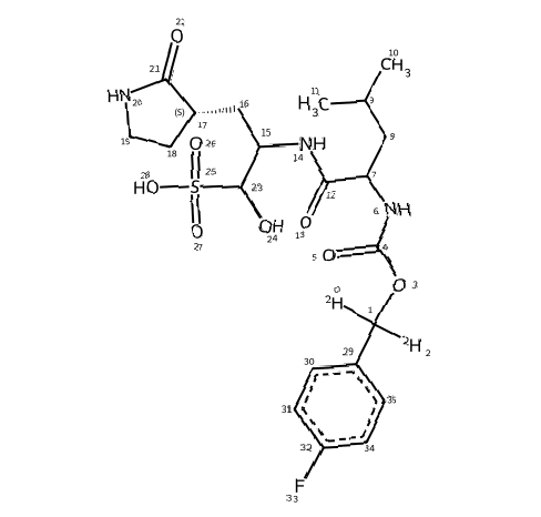 [2H]C([2H])(OC(=O)NC(CC(C)C)C(=O)NC(C[C@@H]1CCNC1=O)C(O)S(=O)(=O)O)c1ccc(F)cc1